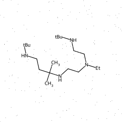 CCN(CCNC(C)(C)C)CCNC(C)(C)CCNC(C)(C)C